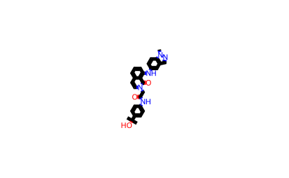 Cn1ncc2cc(Nc3cccc4ccn(CC(=O)Nc5ccc(C(C)(C)O)cc5)c(=O)c34)ccc21